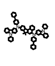 CC1(C)c2cc(N(c3ccc(-c4ccccc4)cc3)c3ccc4c(c3)c3ccccc3n4-c3ccccc3)ccc2-c2c1cc(N(c1ccc(-c3ccccc3)cc1)c1ccc3c(c1)c1ccccc1n3-c1ccccc1)c1ccccc21